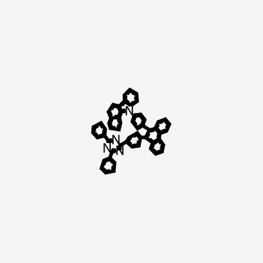 c1ccc(-c2nc(-c3ccccc3)nc(-c3ccc(-c4c(-c5ccc(-n6c7ccccc7c7ccc8ccccc8c76)cc5)c5ccccc5c5ccccc45)cc3)n2)cc1